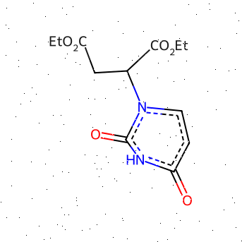 CCOC(=O)CC(C(=O)OCC)n1ccc(=O)[nH]c1=O